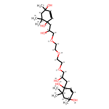 CC1(O)C=CC(O)(CC(O)COCCOCCOCC(O)CC2(O)C=CC(C)(O)CC2(C)C)C(C)(C)C1